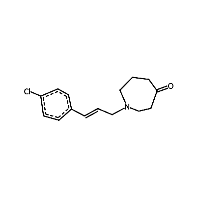 O=C1CCCN(CC=Cc2ccc(Cl)cc2)CC1